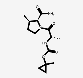 C[C@H](NC(=O)OC1(C)CC1)C(=O)N1CC[C@@H](C)[C@H]1C(N)=O